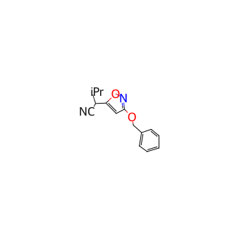 CC(C)C(C#N)c1cc(OCc2ccccc2)no1